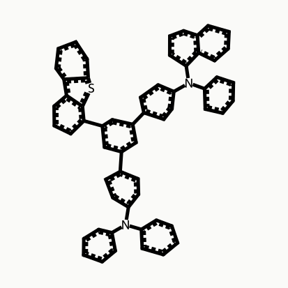 c1ccc(N(c2ccccc2)c2ccc(-c3cc(-c4ccc(N(c5ccccc5)c5cccc6ccccc56)cc4)cc(-c4cccc5c4sc4ccccc45)c3)cc2)cc1